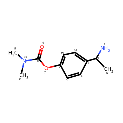 [CH2]C(N)c1ccc(OC(=O)N(C)C)cc1